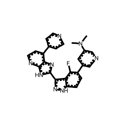 CN(C)c1cncc(-c2ccc3[nH]nc(-c4nc5c(-c6ccncc6)ccnc5[nH]4)c3c2F)c1